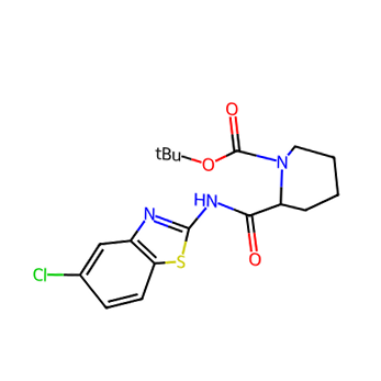 CC(C)(C)OC(=O)N1CCCCC1C(=O)Nc1nc2cc(Cl)ccc2s1